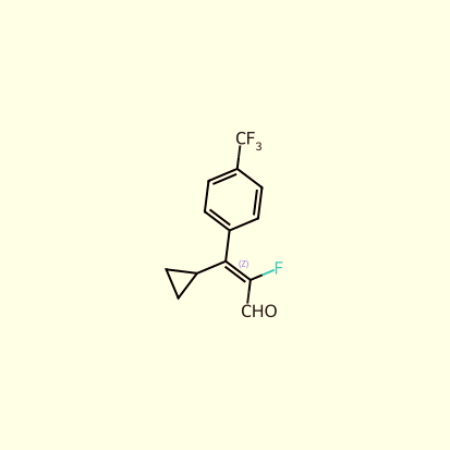 O=C/C(F)=C(/c1ccc(C(F)(F)F)cc1)C1CC1